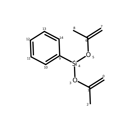 C=C(C)O[Si](OC(=C)C)c1ccccc1